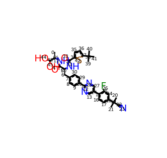 C[C@@H](NC(=O)[C@H](Cc1ccc(-c2ncc(-c3ccc(C(C)(C)C#N)cc3F)cn2)cc1)NC(=O)c1ccc(C(C)(C)C)s1)C(O)O